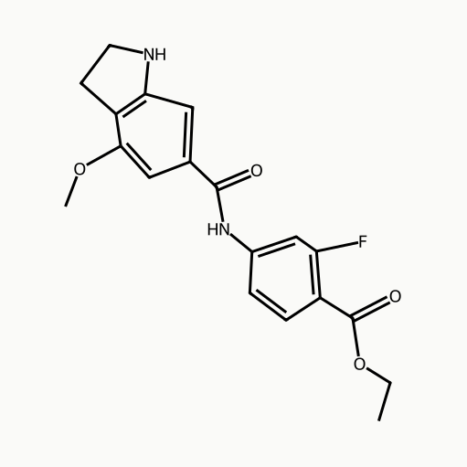 CCOC(=O)c1ccc(NC(=O)c2cc3c(c(OC)c2)CCN3)cc1F